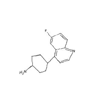 NC1CCC(c2ccnc3ccc(F)cc23)CC1